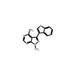 Cn1nc(-c2csc3ccccc23)c2c(N)ncnc21